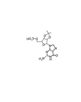 CC1(C)OC2C(COS(=O)(=O)O)OC(n3cnc4c(=O)[nH]c(N)nc43)C2O1